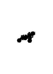 O=C(NCc1ccccc1)c1cccc(NC(=O)C2CSC(c3ccncc3)N2C(=O)OCc2ccccc2)c1